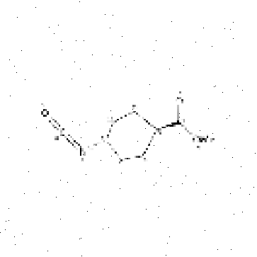 COC(=O)[C@H]1CC[C@H](N=C=O)CC1